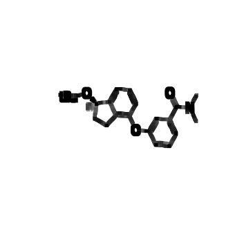 CN(C)C(=O)c1cccc(Oc2cccc3c2CC[C@H]3OC(C)(C)C)c1